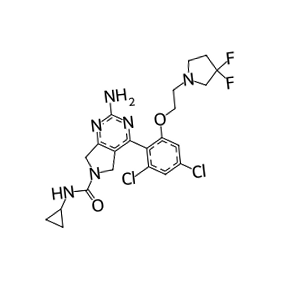 Nc1nc2c(c(-c3c(Cl)cc(Cl)cc3OCCN3CCC(F)(F)C3)n1)CN(C(=O)NC1CC1)C2